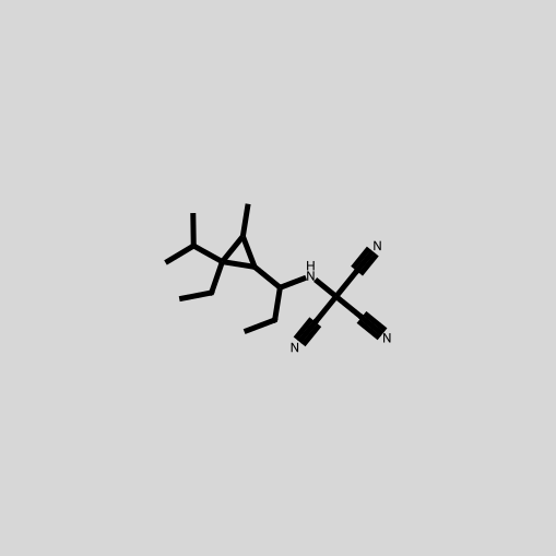 CCC(NC(C#N)(C#N)C#N)C1C(C)C1(CC)C(C)C